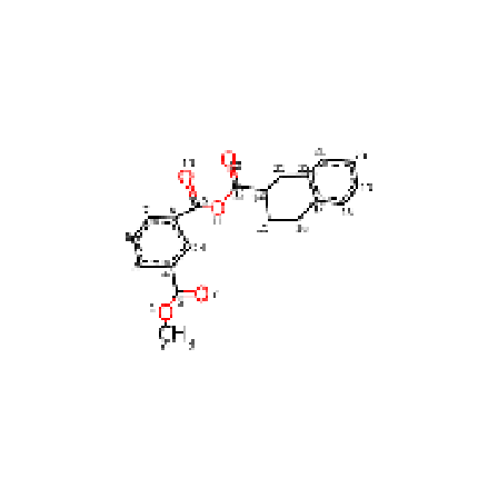 COC(=O)c1cccc(C(=O)OC(=O)C2CCc3ccccc3C2)c1